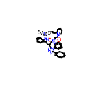 COCCC1CCCCN1C(=O)CN1C(=O)C(Cc2n[nH]c3ccccc23)c2nnc(C3CCCCC3)n2-c2ccccc21